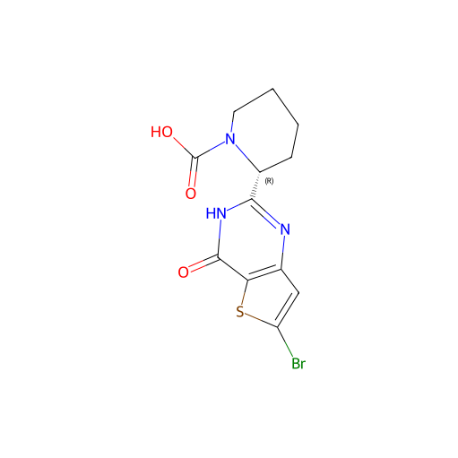 O=C(O)N1CCCC[C@@H]1c1nc2cc(Br)sc2c(=O)[nH]1